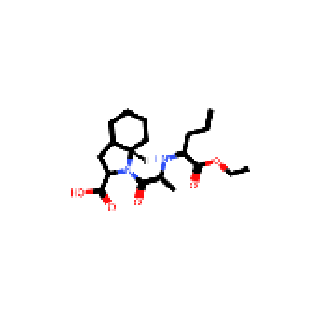 CCCC(NC(C)C(=O)N1C(C(=O)O)CC2CCCC[C@@H]21)C(=O)OCC